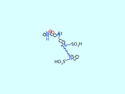 CCN(CCc1ccc2c3c(ccc2c1)N(CCCCS(=O)(=O)O)C(/C=C/C=C/C=C/C=C1/N(CCCCS(=O)(=O)O)c2ccc4ccccc4c2C1(C)C)C3(C)C)c1ccc2cc(-c3nc4ccccc4[nH]3)c(=O)oc2c1